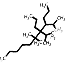 CCCC[CH]C(C)(C)C(CCC)(C(C)C)C(CCC)C(C)C